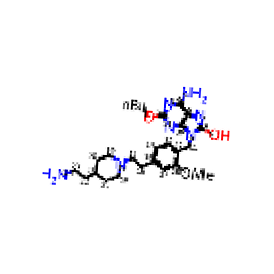 CCCCOc1nc(N)c2nc(O)n(Cc3ccc(CCN4CCC(CCN)CC4)cc3OC)c2n1